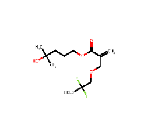 C=C(COCC(F)(F)S(=O)(=O)O)C(=O)OCCCC(C)(O)C(F)(F)F